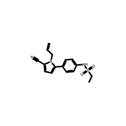 C=CCn1c(C#N)ccc1-c1ccc(NS(=O)(=O)CC)cc1